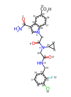 NC(=O)c1cn(CC(=O)N(CC(=O)NCc2cccc(Cl)c2F)C2CC2)c2ccc(C(=O)O)cc12